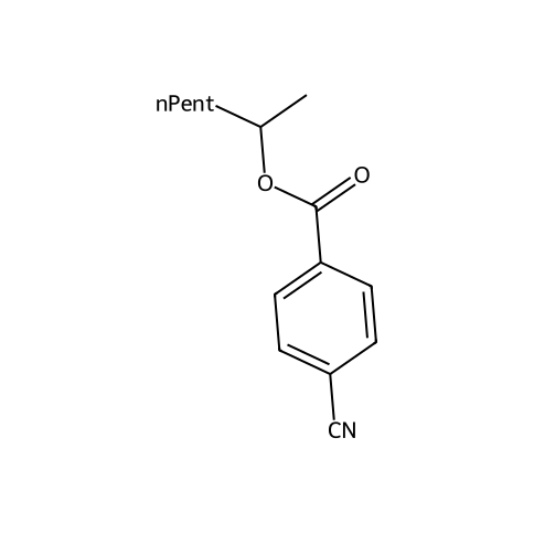 CCCCCC(C)OC(=O)c1ccc(C#N)cc1